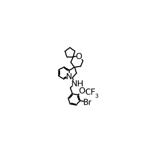 FC(F)(F)Oc1c(Br)cccc1CNCCC1(c2ccccn2)CCOC2(CCCC2)C1